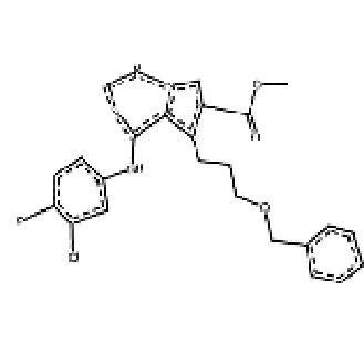 COC(=O)c1cn2ncnc(Nc3ccc(F)c(Cl)c3)c2c1CCCOCc1ccccc1